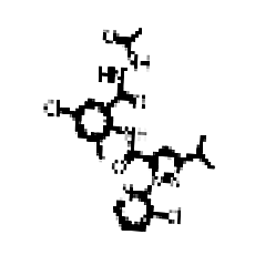 CC(=O)NNC(=O)c1cc(Cl)cc(C)c1NC(=O)c1cc(C(C)C)nn1-c1ncccc1Cl